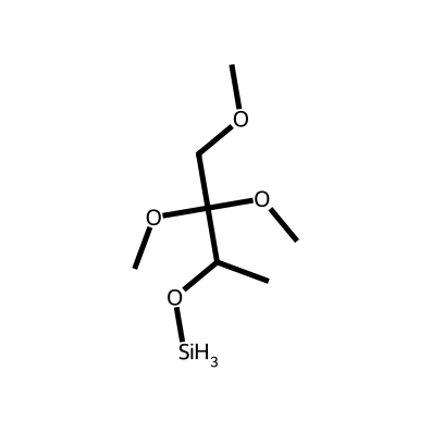 COCC(OC)(OC)C(C)O[SiH3]